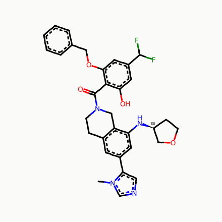 Cn1cncc1-c1cc2c(c(N[C@H]3CCOC3)c1)CN(C(=O)c1c(O)cc(C(F)F)cc1OCc1ccccc1)CC2